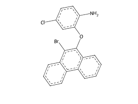 Nc1ccc(Cl)cc1Oc1c(Br)c2ccccc2c2ccccc12